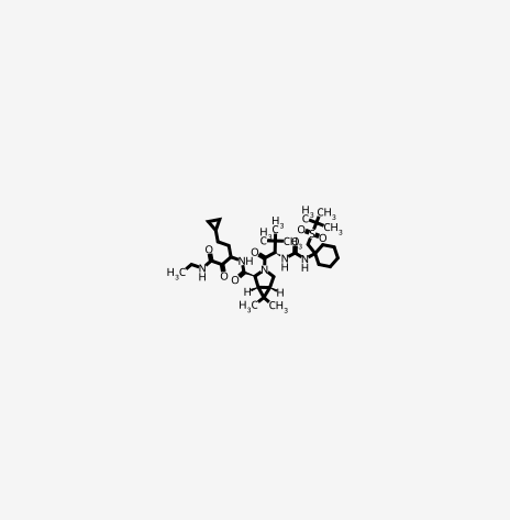 CCNC(=O)C(=O)C(CCC1CC1)NC(=O)[C@@H]1[C@@H]2[C@H](CN1C(=O)[C@@H](NC(=O)NC1(CS(=O)(=O)C(C)(C)C)CCCCC1)C(C)(C)C)C2(C)C